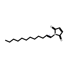 CCCCCCCCCC/C=C/N1C(=O)C=CC1=O